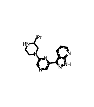 CC(C)C1CN(c2cncc(-c3n[nH]c4ncccc34)n2)CCN1